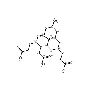 CN(CCCN(CCC(=O)O)CCC(=O)O)CCCN(CCC(=O)O)CCC(=O)O